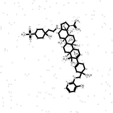 C=C(C)[C@@H]1CC[C@]2(NCCC3(O)CCC(S(C)(=O)=O)CC3)CC[C@]3(C)[C@H](CC[C@@H]4[C@@]5(C)CC=C(C6=CCC(COc7ncccc7C#N)(C(=O)O)CC6)C(C)(C)[C@@H]5CC[C@]43C)[C@@H]12